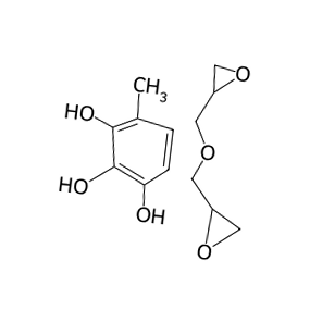 C(OCC1CO1)C1CO1.Cc1ccc(O)c(O)c1O